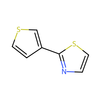 c1csc(-c2ccsc2)n1